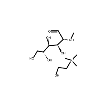 CN[C@@H](C=O)[C@@H](O)[C@H](O)[C@H](O)CO.C[N+](C)(C)CCO